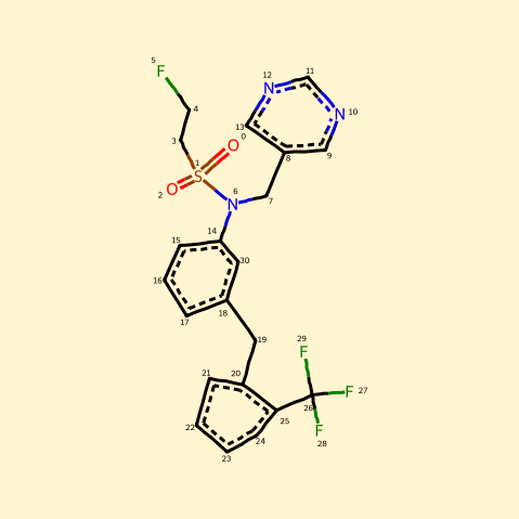 O=S(=O)(CCF)N(Cc1cncnc1)c1cccc(Cc2ccccc2C(F)(F)F)c1